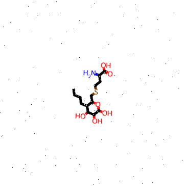 CCCCC1C(CSCCC(N)C(=O)O)OC(O)C(O)C1O